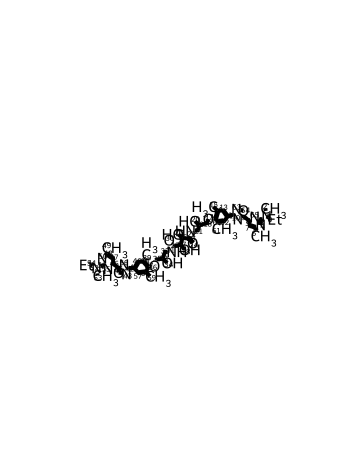 CCN(C)c1nc(C)cc(-c2nc(-c3cc(C)c(OCC(O)CNC(=O)C(O)C(O)C(=O)NCC(O)COc4c(C)cc(-c5noc(-c6cc(C)nc(N(C)CC)n6)n5)cc4C)c(C)c3)no2)n1